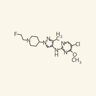 COc1nc(Nc2cn(C3CCN(CCF)CC3)nc2C)ncc1Cl